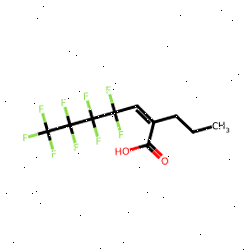 CCCC(=CC(F)(F)C(F)(F)C(F)(F)C(F)(F)F)C(=O)O